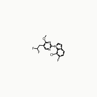 COc1nc(-n2ccc3ccc(F)c(Cl)c32)ncc1CC(F)F